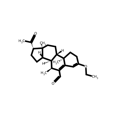 CCOC1=CC2=C(C=O)[C@@H](C)[C@H]3[C@@H]4CC[C@H](C(C)=O)[C@@]4(C)CC[C@@H]3[C@@]2(C)CC1